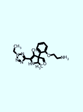 CCn1nnc(C2=C(C)C(C=O)(c3ccccc3OCCN)C(C)N2)n1